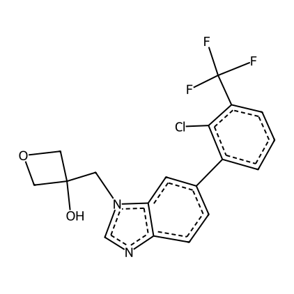 OC1(Cn2cnc3ccc(-c4cccc(C(F)(F)F)c4Cl)cc32)COC1